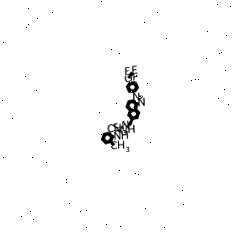 Cc1cccc(C)c1NC(=S)NN=Cc1ccc2c(ccc3c2ncn3-c2ccc(OC(F)(F)F)cc2)c1